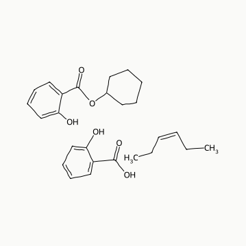 CC/C=C\CC.O=C(O)c1ccccc1O.O=C(OC1CCCCC1)c1ccccc1O